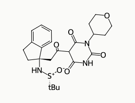 CC(C)(C)[S@@+]([O-])N[C@]1(CC(=O)C2C(=O)NC(=O)N(C3CCOCC3)C2=O)CCc2ccccc21